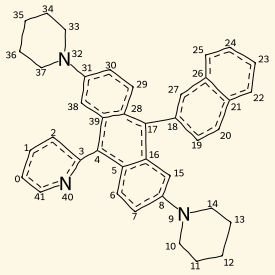 c1ccc(-c2c3ccc(N4CCCCC4)cc3c(-c3ccc4ccccc4c3)c3ccc(N4CCCCC4)cc23)nc1